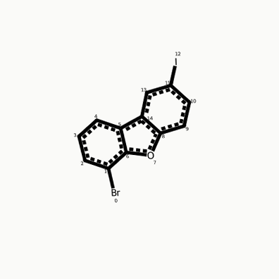 Brc1cccc2c1oc1ccc(I)cc12